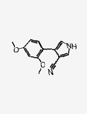 COc1ccc(-c2c[nH]cc2C#N)c(OC)c1